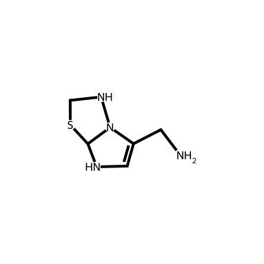 NCC1=CNC2SCNN12